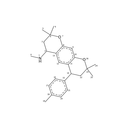 CNC1CC(C)(C)Oc2cc3c(cc21)C(c1ccc(C)cc1)CC(C)(C)O3